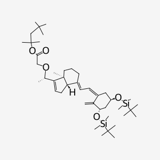 C=C1C(=CC=C2CCC[C@]3(C)C([C@H](C)OCC(=O)OC(C)(C)CC(C)(C)C)=CC[C@@H]23)C[C@@H](O[Si](C)(C)C(C)(C)C)C[C@@H]1O[Si](C)(C)C(C)(C)C